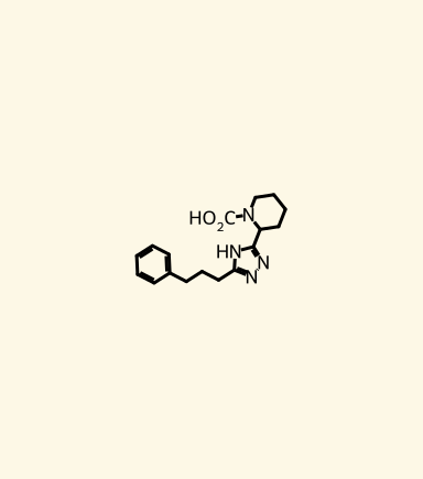 O=C(O)N1CCCCC1c1nnc(CCCc2ccccc2)[nH]1